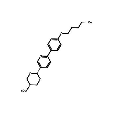 CCCCCCCC[C@H]1CO[C@H](c2ccc(-c3ccc(OCCCC[C@@H](C)CC)cc3)nc2)OC1